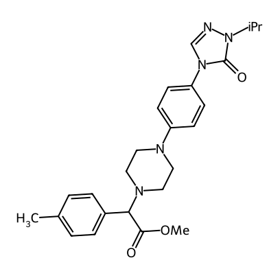 COC(=O)C(c1ccc(C)cc1)N1CCN(c2ccc(-n3cnn(C(C)C)c3=O)cc2)CC1